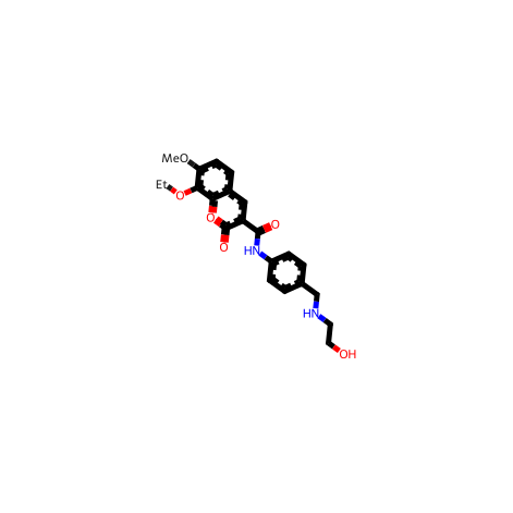 CCOc1c(OC)ccc2cc(C(=O)Nc3ccc(CNCCO)cc3)c(=O)oc12